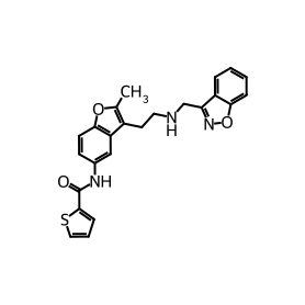 Cc1oc2ccc(NC(=O)c3cccs3)cc2c1CCNCc1noc2ccccc12